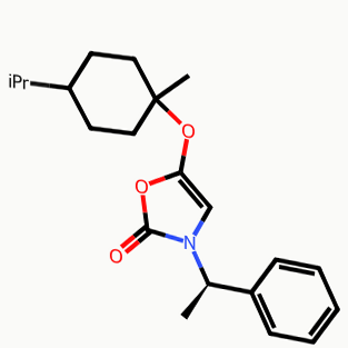 CC(C)C1CCC(C)(Oc2cn([C@H](C)c3ccccc3)c(=O)o2)CC1